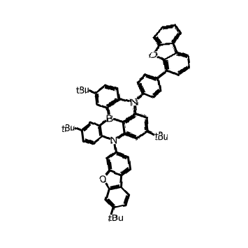 CC(C)(C)c1ccc2c(c1)B1c3cc(C(C)(C)C)ccc3N(c3ccc4c(c3)oc3cc(C(C)(C)C)ccc34)c3cc(C(C)(C)C)cc(c31)N2c1ccc(-c2cccc3c2oc2ccccc23)cc1